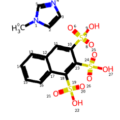 Cn1ccnc1.O=S(=O)(O)c1cc2ccccc2c(S(=O)(=O)O)c1S(=O)(=O)O